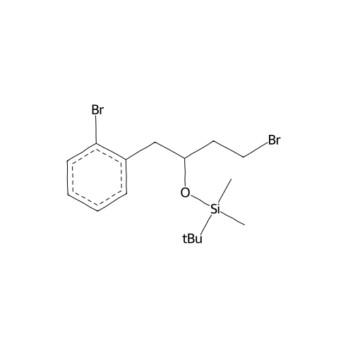 CC(C)(C)[Si](C)(C)OC(CCBr)Cc1ccccc1Br